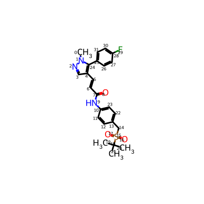 Cn1ncc(C=CC(=O)Nc2ccc(CS(=O)(=O)C(C)(C)C)cc2)c1-c1ccc(F)cc1